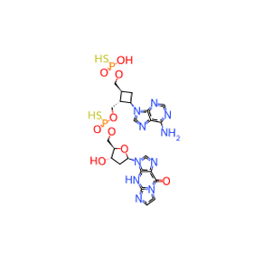 Nc1ncnc2c1ncn2[C@@H]1C[C@H](COP(=O)(O)S)[C@H]1COP(=O)(S)OC[C@H]1O[C@@H](n2cnc3c(=O)n4ccnc4[nH]c32)C[C@@H]1O